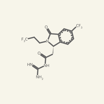 N=C(N)NC(=O)C[C@H]1c2ccc(C(F)(F)F)cc2C(=O)N1CCC(F)(F)F